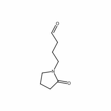 O=CCCCN1CCCC1=O